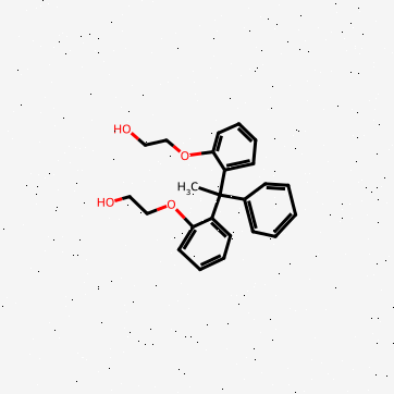 CC(c1ccccc1)(c1ccccc1OCCO)c1ccccc1OCCO